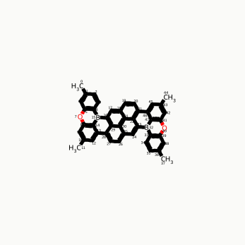 Cc1ccc2c(c1)Oc1cc(C)cc3c1B2c1cc2ccc4c5c(cc6ccc-3c1c6c25)B1c2ccc(C)cc2Oc2cc(C)cc-4c21